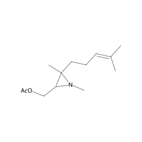 CC(=O)OCC1N(C)C1(C)CCC=C(C)C